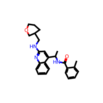 Cc1ccccc1C(=O)NC(C)c1cc(NCC2CCCOC2)nc2ccccc12